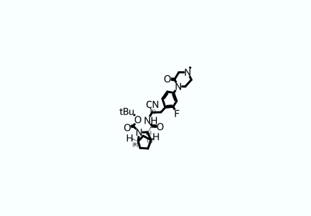 CN1CCN(c2ccc(C[C@@H](C#N)NC(=O)[C@@H]3[C@H]4CC[C@H](C4)N3C(=O)OC(C)(C)C)c(F)c2)C(=O)C1